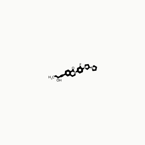 CC[C@@H](O)C#Cc1ccc2c(c1)CCN(c1ccc(N3CC[C@@H](N4CCCC4)C3)c(F)c1)C2=O